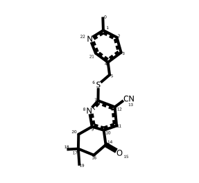 Cc1ccc(CSc2nc3c(cc2C#N)C(=O)CC(C)(C)C3)cn1